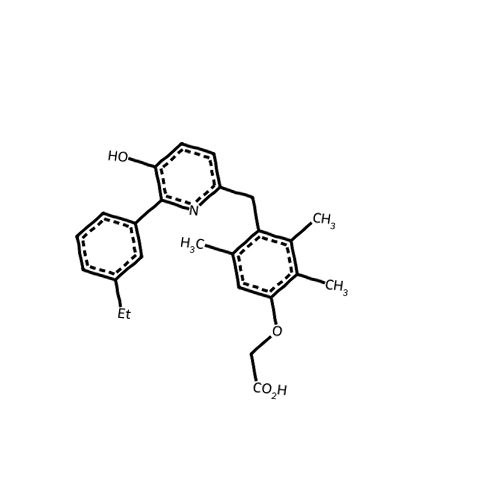 CCc1cccc(-c2nc(Cc3c(C)cc(OCC(=O)O)c(C)c3C)ccc2O)c1